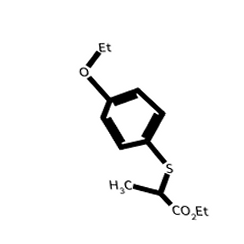 CCOC(=O)C(C)Sc1ccc(OCC)cc1